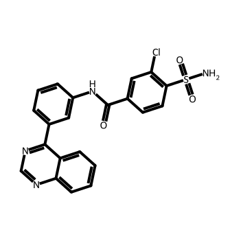 NS(=O)(=O)c1ccc(C(=O)Nc2cccc(-c3ncnc4ccccc34)c2)cc1Cl